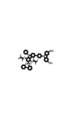 CC(C)(C)c1ccc2c(c1)c1cc(C(C)(C)C)ccc1n2-c1ccc(-c2ccc3c(c2)c2c(OC(F)=C(F)F)c(P4(=O)Oc5ccccc5-c5ccccc54)cc(OC(F)=C(F)F)c2n3-c2ccccc2)cc1